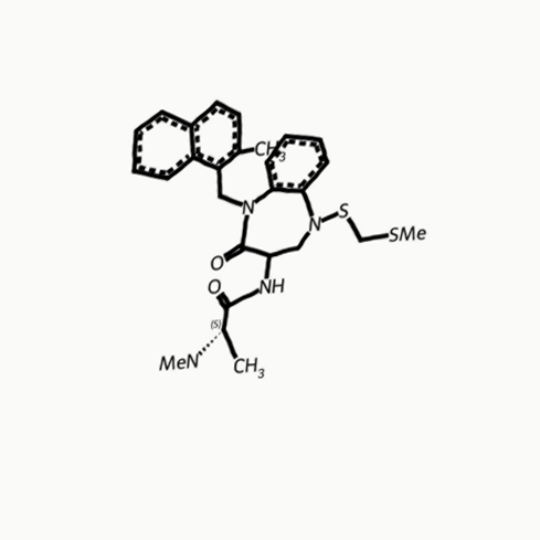 CN[C@@H](C)C(=O)NC1CN(SCSC)c2ccccc2N(Cc2c(C)ccc3ccccc23)C1=O